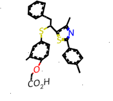 Cc1ccc(-c2nc(C)c(C(Cc3ccccc3)Sc3ccc(OCC(=O)O)c(C)c3)s2)cc1